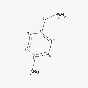 [CH2]C(C)(C)c1ccc(CN)cc1